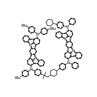 CC(C)(C)c1ccc(N(c2ccc(C(C)(C)C)cc2)c2ccc3c4cc5c(cc4n4c6ccccc6c2c34)c2ccc(N(c3ccc(C(C)(C)C)cc3)c3ccc(C(C)(C)CC4CCC(c6ccc(N(c7ccccc7)c7ccc8c9cc%10c(cc9n9c%11ccccc%11c7c89)c7ccc(N(c8ccccc8)c8ccc(C9CCCCC9)cc8)c8c9ccccc9n%10c78)cc6)CC4)cc3)c3c4ccccc4n5c23)cc1